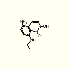 CCNc1ccc(N)c2c1N(O)N(O)C=C2